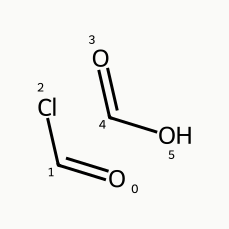 O=CCl.O=CO